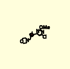 COc1nc(Cl)cc(N2CC3(CN4CCOCC4)C[C]2C3)n1